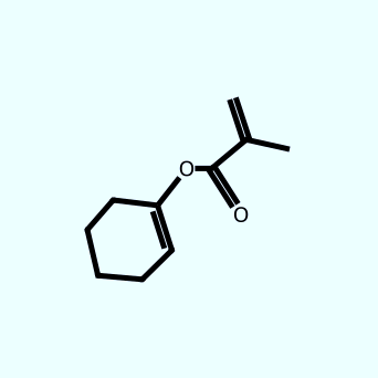 C=C(C)C(=O)OC1=CCCCC1